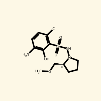 COC[C@@H]1CCCN1NS(=O)(=O)c1c(Cl)ccc(N)c1O